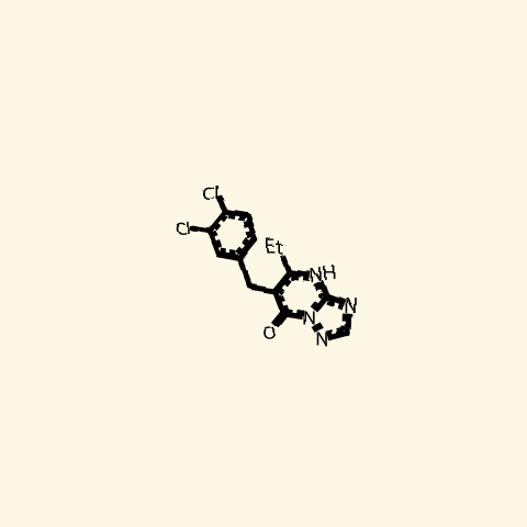 CCc1[nH]c2ncnn2c(=O)c1Cc1ccc(Cl)c(Cl)c1